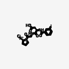 [C-]#[N+][C@@H]1CCCN1C(=O)CNC(=O)[C@@H](CC(=O)O)NC(=O)c1cccc(I)c1